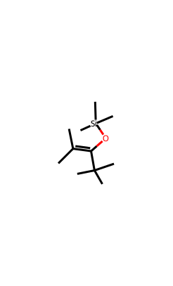 CC(C)=C(O[Si](C)(C)C)C(C)(C)C